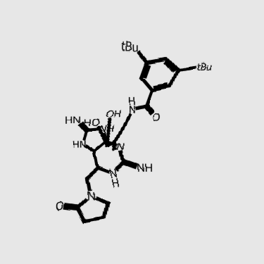 CC(C)(C)c1cc(C(=O)NC2CN3C(=N)NC(CN4CCCC4=O)C4NC(=N)NC43C2(O)O)cc(C(C)(C)C)c1